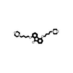 O=C1c2cccc(OCCCCN3CCOCC3)c2-c2cccc(OCCCCN3CCOCC3)c21